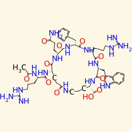 CC(=O)N[C@H](CCCNC(=N)N)C(=O)N[C@H]1CCC(=O)NCCC[C@@H](C(=O)O)NC(=O)[C@H](Cc2c[nH]c3ccccc23)NC(=O)[C@H](CCCNC(=N)N)NC(=O)[C@@H](Cc2ccccc2)NC(=O)[C@H](CCC(N)=O)NC1=O